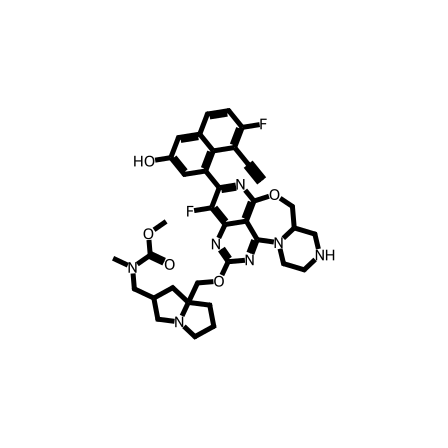 C#Cc1c(F)ccc2cc(O)cc(-c3nc4c5c(nc(OCC67CCCN6CC(CN(C)C(=O)OC)C7)nc5c3F)N3CCNCC3CO4)c12